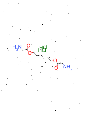 Cl.Cl.NCC(=O)OCCCCCCOC(=O)CN